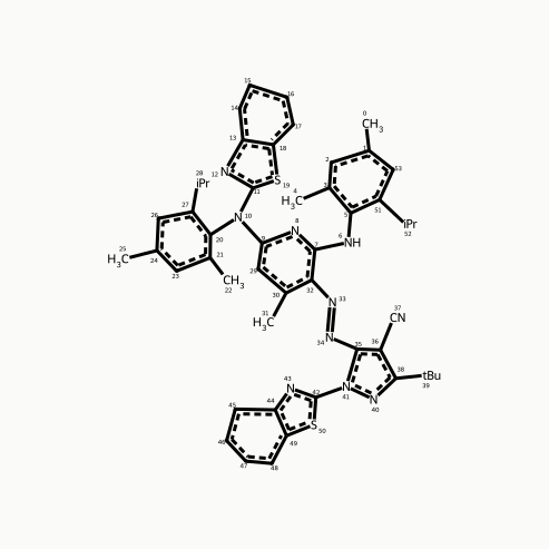 Cc1cc(C)c(Nc2nc(N(c3nc4ccccc4s3)c3c(C)cc(C)cc3C(C)C)cc(C)c2N=Nc2c(C#N)c(C(C)(C)C)nn2-c2nc3ccccc3s2)c(C(C)C)c1